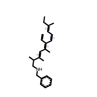 C=CC(/C=C\C=C(/C)CC)=C(C)\C=C(/C)C(C)CNCc1ccccc1